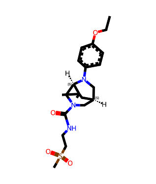 CCOc1ccc(N2C[C@H]3CN(C(=O)NCCS(C)(=O)=O)C[C@@H]2C(C)(C)C3)cc1